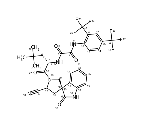 CC(C)(C)C[C@H](NC(=O)C(=O)Nc1ccc(C(F)(F)F)cc1C(F)(F)F)C(=O)N1C[C@]2(CC1C#N)C(=O)Nc1ccccc12